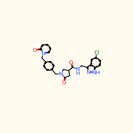 O=C(NCc1n[nH]c2ccc(Cl)cc12)C1CC(=O)N(Cc2ccc(Cn3ccccc3=O)cc2)C1